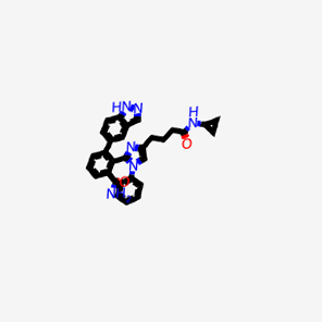 NC(=O)c1cccc(-c2ccc3[nH]ncc3c2)c1-c1nc(CCCC(=O)NC2CC2)cn1-c1ccccc1